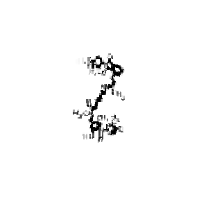 C=C(CCc1cccc2c1C(=O)N(C1CCC(=C)NC1=C)C2=O)NCCCCCC(=O)N(C)CCc1cc(O)c(Nc2ncc(Cl)c(C)n2)cc1C